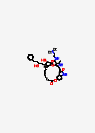 CCN(CC)CCNC(=O)c1c(C)[nH]c2c1O[C@H]1C[C@@H](O)[C@H](CC[C@H](O)CCc3ccccc3)[C@H]1C/C=C\CCCC(=O)Oc1ccc3c(c1)/C(=C/2)C(=O)N3